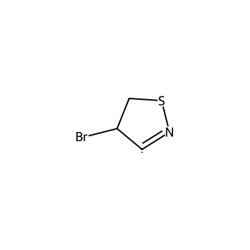 BrC1[C]=NSC1